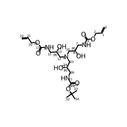 C=CCOC(=O)NC[C@@H](O)CN(C[C@H](O)CNC(=O)OCC=C)C[C@H](O)CNC(=O)OC(C)(C)C